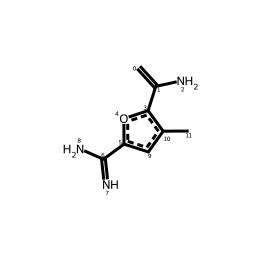 C=C(N)c1oc(C(=N)N)cc1C